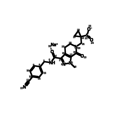 Cn1nc(C(=O)NCc2ccc(C#N)cc2)c2c1C(=O)N(CC1(S(=O)[O-])CC1)CC2.[Na+]